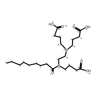 CCCCCCCCC(=O)N(CCCC(=O)O)CCN(CCCC(=O)O)CCCC(=O)O